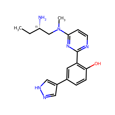 CC[C@H](N)CN(C)c1ccnc(-c2cc(-c3cn[nH]c3)ccc2O)n1